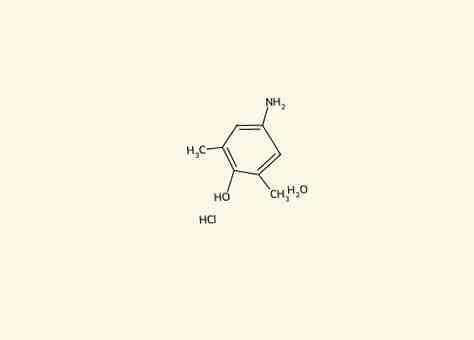 Cc1cc(N)cc(C)c1O.Cl.O